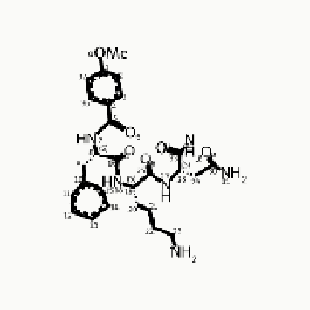 COc1ccc(C(=O)N[C@@H](Cc2ccccc2)C(=O)N[C@@H](CCCCN)C(=O)N[C@@H](CC(N)=O)C(N)=O)cc1